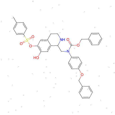 Cc1ccc(S(=O)(=O)Oc2cc3c(cc2O)C(CN(C(=O)OCc2ccccc2)c2ccc(OCc4ccccc4)cc2)NCC3)cc1